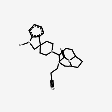 C#CCCOC(=O)N1C2CCC(N3CCC4(CC3)CN(C(C)=O)c3ccccc34)CCC1CC2